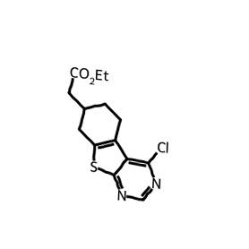 CCOC(=O)CC1CCc2c(sc3ncnc(Cl)c23)C1